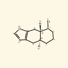 CCN1CCC[C@H]2Cc3ncoc3C[C@@H]21